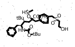 C[SiH](C)OC(Cc1ccc(CS(=O)(=O)CCO)cc1)(C[C@H]([C@H](Cc1ccccc1)NC(=O)OC(C)(C)C)C(C)(C)C)C(=O)O